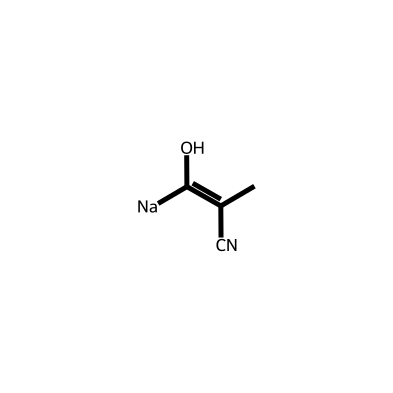 CC(C#N)=[C](O)[Na]